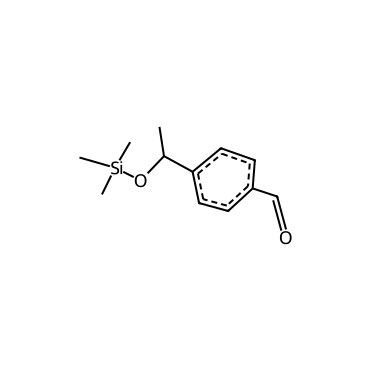 CC(O[Si](C)(C)C)c1ccc(C=O)cc1